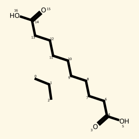 CCC.O=C(O)CCCCCCCCC(=O)O